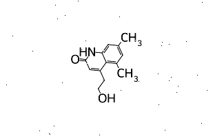 Cc1cc(C)c2c(CCO)cc(=O)[nH]c2c1